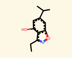 CCc1noc2cc(C(C)C)cc(O)c12